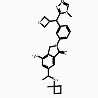 CC(NC1(C)CCC1)c1cc2c(c(C(F)(F)F)c1)CN(c1cccc(C(c3nncn3C)C3COC3)c1)C2=O